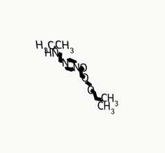 CC(C)CCOCCOCC(=O)N1CCN(CCNC(C)C)CC1